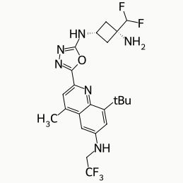 Cc1cc(-c2nnc(N[C@H]3C[C@](N)(C(F)F)C3)o2)nc2c(C(C)(C)C)cc(NCC(F)(F)F)cc12